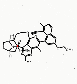 C#Cc1c(F)ccc2cc(OCOC)cc(-c3nc4c5c(nc(SC)nc5c3F)N3C[C@H]5CC[C@@H]([C@H]3CCO4)N5C(=O)OC(C)(C)C)c12